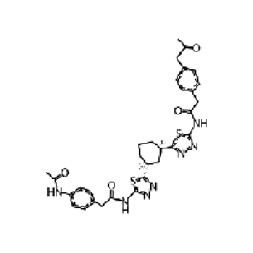 CC(=O)Cc1ccc(CC(=O)Nc2nnc([C@@H]3CCC[C@@H](c4nnc(NC(=O)Cc5ccc(NC(C)=O)cc5)s4)C3)s2)cc1